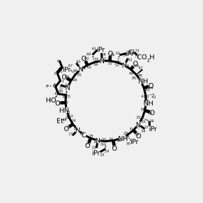 CC=CC[C@@H](C)[C@@H](O)[C@H]1C(=O)N[C@@H](CC)C(=O)N(C)CC(=O)N(C)[C@@H](CC(C)C)C(=O)N[C@@H](C(C)C)C(=O)N(C)[C@@H](CC(C)C)C(=O)N[C@@H](C)C(=O)N[C@H](C)C(=O)N(C)[C@@H](CC(C)C)C(=O)N(C)[C@@H](CC(C)C)C(=O)N(C)[C@@H](C(C)C)C(=O)N1C.O=C(O)Cl